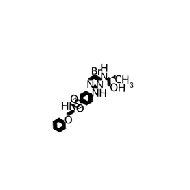 CC[C@H](CO)Nc1nc(Nc2ccc(S(=O)(=O)NCCOc3ccccc3)cc2)ncc1Br